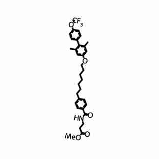 COC(=O)CCNC(=O)c1ccc(CCCCCCCOc2cc(C)c(-c3ccc(OC(F)(F)F)cc3)c(C)c2)cc1